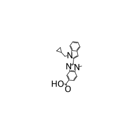 Cn1c(-c2cc3ccccc3n2CC2CC2)nc2cc(C(=O)O)ccc21